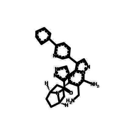 NCc1c([C@@H]2C[C@H]3CC[C@@H](C2)N3C(=O)c2nnc[nH]2)nc2c(-c3ccc(-c4ccccc4)nc3)cnn2c1N